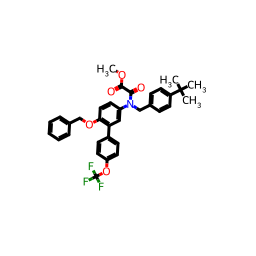 COC(=O)C(=O)N(Cc1ccc(C(C)(C)C)cc1)c1ccc(OCc2ccccc2)c(-c2ccc(OC(F)(F)F)cc2)c1